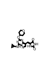 O=C1NC(=O)/C(=C/c2cnn3c(NC4CC4)nc(OC4CCOCC4)nc23)N1